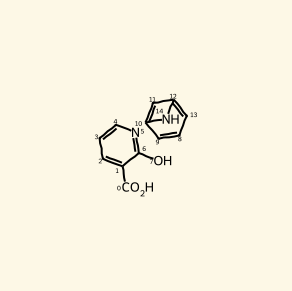 O=C(O)c1cccnc1O.c1cc2cc(c1)N2